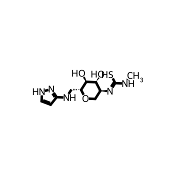 CN/C(S)=N/[C@H]1CO[C@H](CNc2cc[nH]n2)[C@@H](O)[C@@H]1O